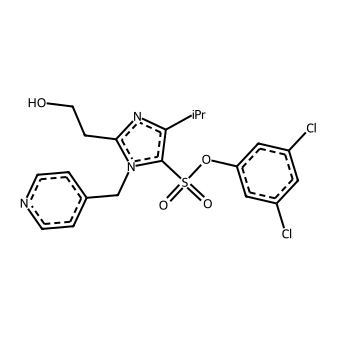 CC(C)c1nc(CCO)n(Cc2ccncc2)c1S(=O)(=O)Oc1cc(Cl)cc(Cl)c1